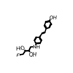 Oc1ccc(/C=C/c2ccc(NCC(O)C(O)CF)cc2)cc1